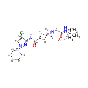 CC(C)(C)NC(=O)CN1CC2(CC(C(=O)Nc3nn(C4CCCCC4)cc3Cl)C2)C1